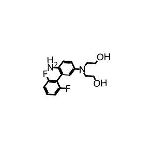 Nc1ccc(N(CCO)CCO)cc1-c1c(F)cccc1F